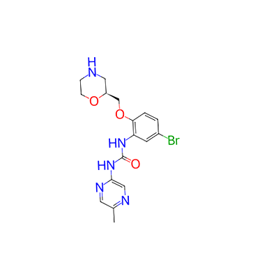 Cc1cnc(NC(=O)Nc2cc(Br)ccc2OC[C@@H]2CNCCO2)cn1